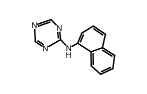 c1ccc2c(Nc3ncncn3)cccc2c1